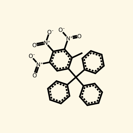 Cc1c(C(c2ccccc2)(c2ccccc2)c2ccccc2)cc([N+](=O)[O-])c([N+](=O)[O-])c1[N+](=O)[O-]